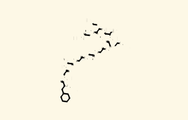 CC[C@H](C)C(NC(=O)CNC(=O)[C@@H](N)CC1CCCCC1)C(=O)NCC(=O)NCC(=O)NCC(=O)N[C@@H](CCN)C(=O)NC(C(=O)N[C@@H](CCC(C)C)C(=O)NCC(N)=O)C(C)C